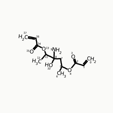 C=CC(=O)OC(C)CC(N)(O)C(C)OC(=O)C=C